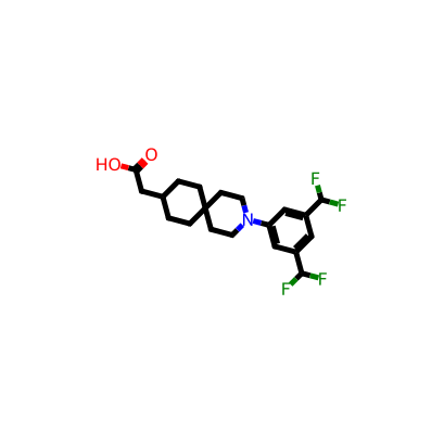 O=C(O)CC1CCC2(CC1)CCN(c1cc(C(F)F)cc(C(F)F)c1)CC2